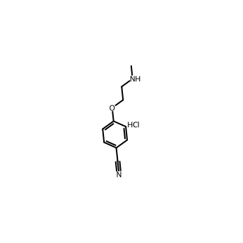 CNCCOc1ccc(C#N)cc1.Cl